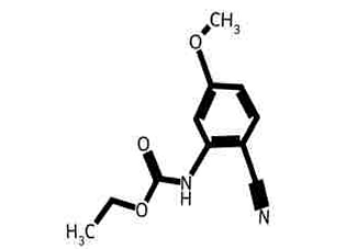 CCOC(=O)Nc1cc(OC)ccc1C#N